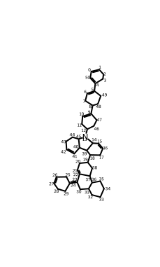 C1=CCCC(C2=CCC(C3=CCC(N4C5C=CCC(C6CC=C7/C(=C8\CC=CCC8)CC8CCCCC8C7C6)C5C5C=CCCC54)CC3)CC2)=C1